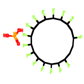 FC1CCC(F)C(F)C(F)C(F)C(F)C(F)C(F)C(F)C(F)C(F)C(F)C(F)C(F)C(F)C1.O=[PH](O)O